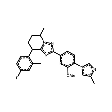 COc1nc(-c2nc3n(n2)C(C)CCC3c2ccc(F)cc2C)ccc1-n1cnc(C)c1